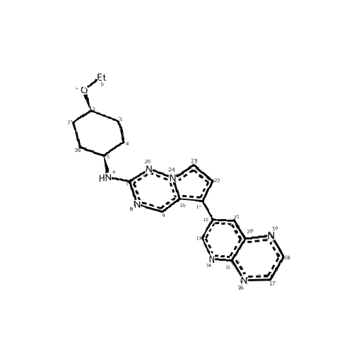 CCO[C@H]1CC[C@@H](Nc2ncc3c(-c4cnc5nccnc5c4)ccn3n2)CC1